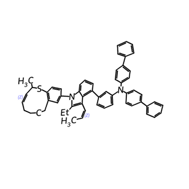 C/C=C\c1c(CC)n(-c2ccc3c(c2)CCCC/C=C\C(C)S3)c2cccc(-c3cccc(N(c4ccc(-c5ccccc5)cc4)c4ccc(-c5ccccc5)cc4)c3)c12